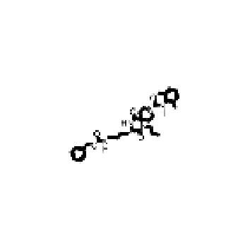 CCCN1C(=O)[C@H](CCCCNC(=O)OCc2ccccc2)NC(=O)C12CCN(C(=O)Nc1c(C)cccc1C)CC2